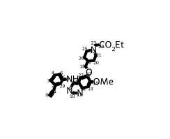 C#Cc1cccc(Nc2ncnc3cc(OC)c(OCC4CCN(CC(=O)OCC)CC4)cc23)c1